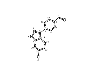 O=Cc1ccc(-c2nnc3cc(Cl)ccn23)cc1